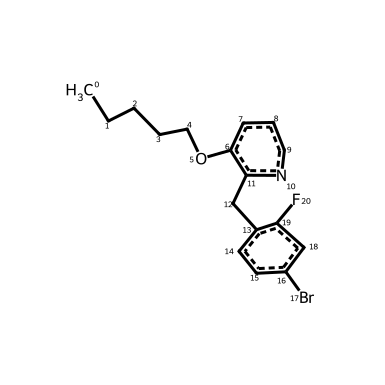 CCCCCOc1cccnc1Cc1ccc(Br)cc1F